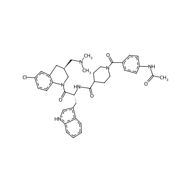 CC(=O)Nc1ccc(C(=O)N2CCC(C(=O)N[C@H](Cc3c[nH]c4ccccc34)C(=O)N3C[C@H](CN(C)C)Cc4cc(Cl)ccc43)CC2)cc1